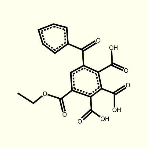 CCOC(=O)c1cc(C(=O)c2ccccc2)c(C(=O)O)c(C(=O)O)c1C(=O)O